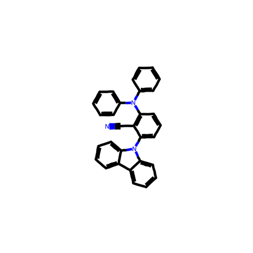 N#Cc1c(N(c2ccccc2)c2ccccc2)cccc1-n1c2ccccc2c2ccccc21